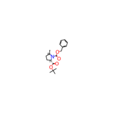 C[C@@H]1CC[C@@H](C(=O)OC(C)(C)C)N1C(=O)OCc1ccccc1